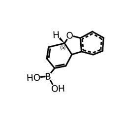 OB(O)C1=CC2c3ccccc3O[C@H]2C=C1